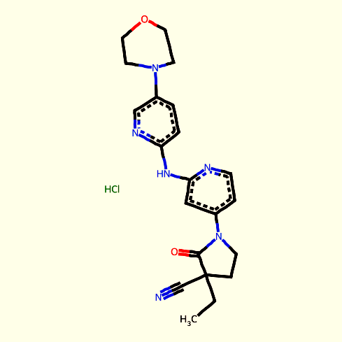 CCC1(C#N)CCN(c2ccnc(Nc3ccc(N4CCOCC4)cn3)c2)C1=O.Cl